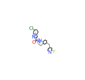 O=C(c1cc2ccc(Cl)cn2n1)N1CCc2cc(Cc3ccnc(F)c3)ccc2N1